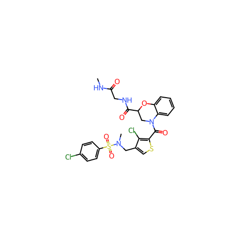 CNC(=O)CNC(=O)C1CN(C(=O)c2scc(CN(C)S(=O)(=O)c3ccc(Cl)cc3)c2Cl)c2ccccc2O1